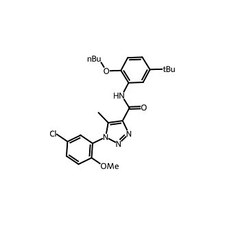 CCCCOc1ccc(C(C)(C)C)cc1NC(=O)c1nnn(-c2cc(Cl)ccc2OC)c1C